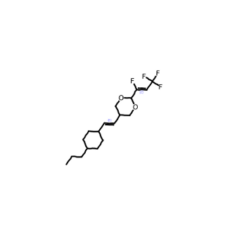 CCCC1CCC(/C=C/C2COC(/C(F)=C/C(F)(F)F)OC2)CC1